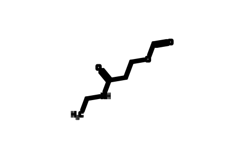 CCNC(=O)CCOC=O